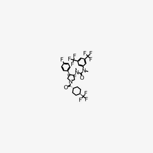 CN(C(=O)N(C)[C@@H]1CN(C(=O)[C@H]2CC[C@H](C(F)(F)F)CC2)C[C@H]1c1ccc(F)cc1)c1cc(C(F)(F)F)cc(C(F)(F)F)c1